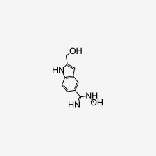 N=C(NO)c1ccc2[nH]c(CO)cc2c1